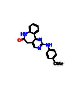 COc1ccc(Nc2ncc3c(n2)-c2ccccc2NC(=O)C3)cc1